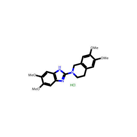 COc1cc2c(cc1OC)CN(c1nc3cc(OC)c(OC)cc3[nH]1)CC2.Cl